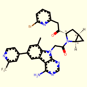 Cc1cc(-c2ccnc(C(F)(F)F)c2)cc2c3c(N)ncnc3n(CC(=O)N3[C@@H]4C[C@@H]4C[C@H]3C(=O)Cc3cccc(Br)n3)c12